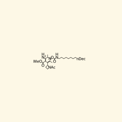 CCCCCCCCCCCCCCCCCCNC(=O)ON1C(C)=C(C2CCN2C(C)=O)C(C(=O)OC)=C(N)C1C